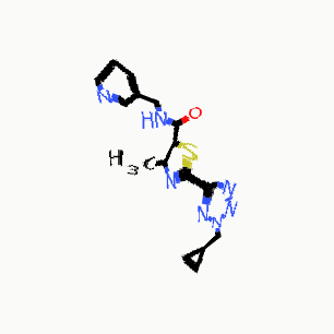 CC1N=C(c2nnn(CC3CC3)n2)SC1C(=O)NCc1cccnc1